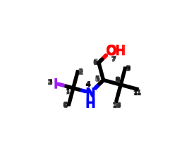 CC(C)(I)NC(CO)C(C)(C)C